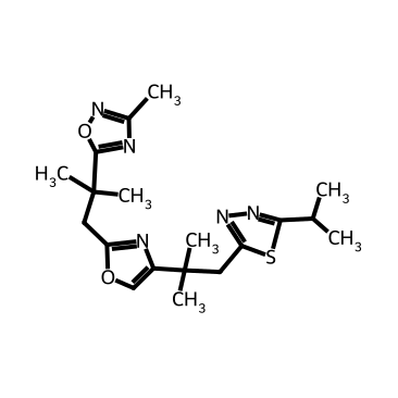 Cc1noc(C(C)(C)Cc2nc(C(C)(C)Cc3nnc(C(C)C)s3)co2)n1